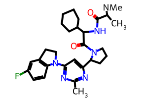 CNC(C)C(=O)NC(C(=O)N1CCCC1c1cc(N2CCc3cc(F)ccc32)nc(C)n1)C1CCCCC1